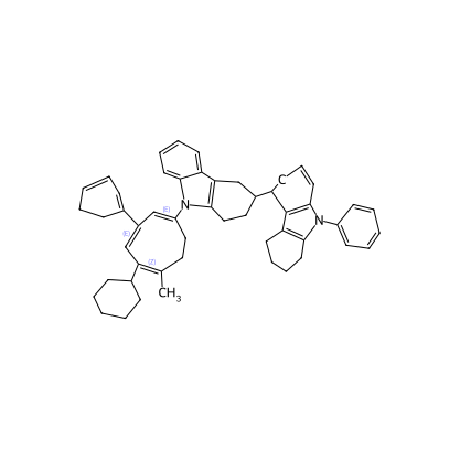 C/C1=C(C2CCCCC2)/C=C(C2=CC=CCC2)\C=C(\n2c3c(c4ccccc42)CC(C2CC=Cc4c2c2c(n4-c4ccccc4)CCCC2)CC3)CC1